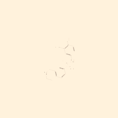 O=S(=O)(Nc1ccc(Cl)c(Cl)c1)c1ccc2c(c1)CNCC2